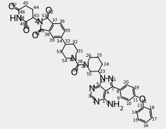 Nc1ncnc2c1c(-c1ccc(Oc3ccccc3)cc1)nn2C1CCCN(C(=O)N2CCC(c3ccc4c(c3)C(=O)N(C3CCC(=O)NC3=O)C4=O)CC2)C1